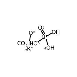 O=C([O-])O.O=P(O)(O)O.[K+]